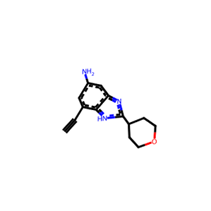 C#Cc1cc(N)cc2nc(C3CCOCC3)[nH]c12